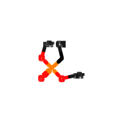 CCCOP(=O)(CC#N)OCCC